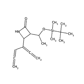 C=C=CC(=C=C)C1NC(=O)C1C(C)O[Si](C)(C)C(C)(C)C